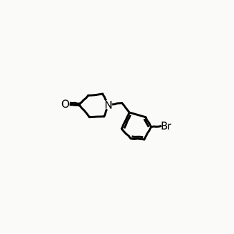 O=C1CCN(Cc2cccc(Br)c2)CC1